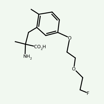 Cc1ccc(OCCOCCF)cc1CC(C)(N)C(=O)O